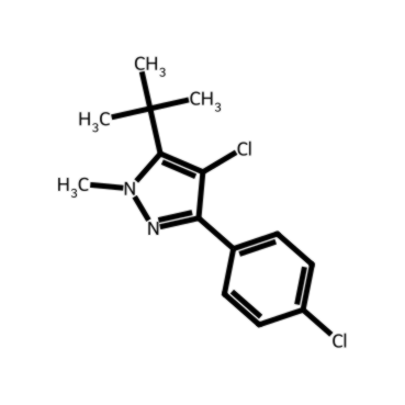 Cn1nc(-c2ccc(Cl)cc2)c(Cl)c1C(C)(C)C